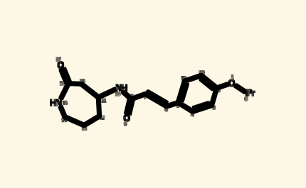 CC(C)Oc1ccc(C=CC(=O)NC2CCCNC(=O)C2)cc1